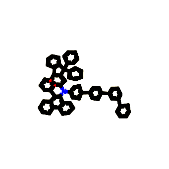 c1ccc(-c2cccc(-c3ccc(-c4ccc(N(c5ccc6c(c5)C(c5ccccc5)(c5ccccc5)c5ccccc5-6)c5c(-c6ccccc6)c6ccccc6c6ccccc56)cc4)cc3)c2)cc1